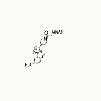 [N-]=[N+]=NCC(=O)N1CCC(c2nc(-c3cc(C(F)(F)F)ccc3F)no2)CC1